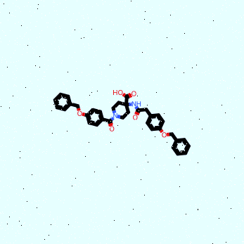 O=C(Cc1ccc(OCc2ccccc2)cc1)NC1(C(=O)O)CCN(C(=O)c2ccc(OCc3ccccc3)cc2)CC1